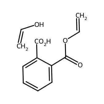 C=CO.C=COC(=O)c1ccccc1C(=O)O